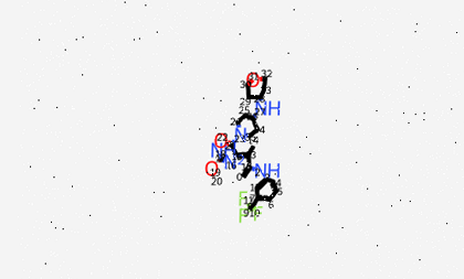 C=C(Nc1cccc(C(F)(F)F)c1)/C(C)=C(\N=C(/N)OC)C(=O)N1CCC(NC2CCOCC2)CC1